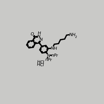 CCCN(CCC)c1ccc(-c2n[nH]c(=O)c3ccccc23)cc1NCCCCCN.Cl.Cl